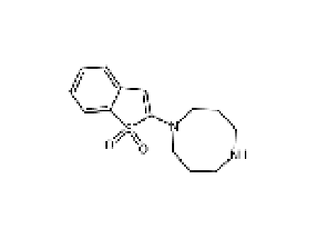 O=S1(=O)C(N2CCCNCCC2)=Cc2ccccc21